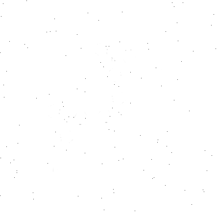 CCCCc1ccc2c(c1)c1cc(-c3ccc4[nH]c5ccc(-c6ccc7c(c6)c6cc(CCCC)ccc6n7-c6ccccc6)cc5c4c3)ccc1n2-c1ccccc1